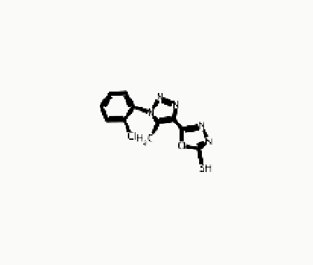 Cc1c(-c2nnc(S)o2)nnn1-c1ccccc1Cl